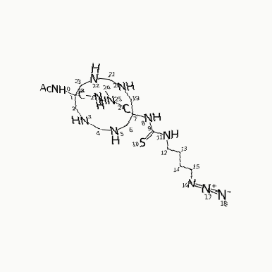 CC(=O)NC12CNCNCC(NC(=S)NCCCCN=[N+]=[N-])(CNCNC1)CNCNC2